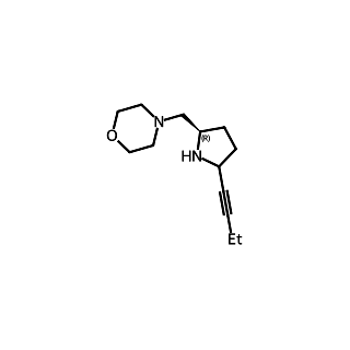 CCC#CC1CC[C@H](CN2CCOCC2)N1